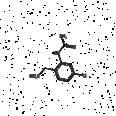 NC(=O)Nc1cc(Cl)ccc1CC(=O)O